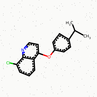 CC(C)c1ccc(Oc2ccnc3c(Cl)cccc23)cc1